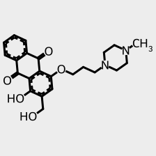 CN1CCN(CCCOc2cc(CO)c(O)c3c2C(=O)c2ccccc2C3=O)CC1